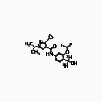 [2H]C([2H])(O)c1ccc(NC(=O)c2cn(C(C)C)nc2C2CC2)cc1OC(F)F